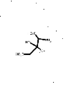 NC(C(=O)O)C(O)(O)CC(=O)O